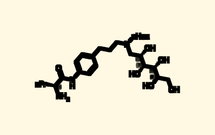 CCCCCCN(CCCc1ccc(NC(=O)[C@@H](N)CCC)cc1)C[C@H](O)[C@@H](O)[C@H](O)[C@H](O)CO